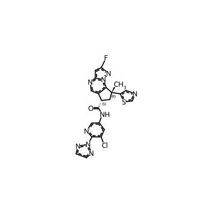 C[C@@]1(c2cncs2)C[C@H](C(=O)Nc2cnc(-n3nccn3)c(Cl)c2)c2cnc3cc(F)nn3c21